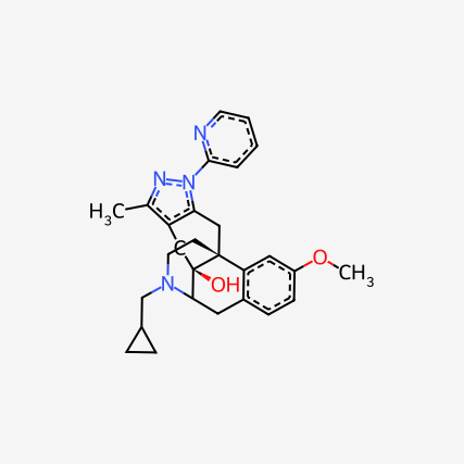 COc1ccc2c(c1)[C@]13CCN(CC4CC4)C(C2)[C@]1(O)Cc1c(C)nn(-c2ccccn2)c1C3